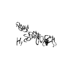 COc1ccccc1Sc1c(NS(=O)(=O)c2ccc(C(C)(C)C)cc2)ncnc1OCCOC(=O)Nc1ccccn1